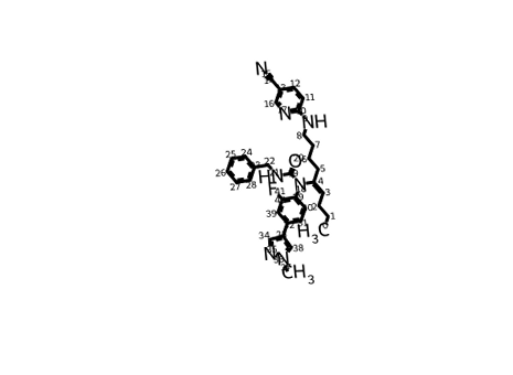 CCC/C=C(/CCCCNc1ccc(C#N)cn1)N(C(=O)NCc1ccccc1)c1ccc(-c2cnn(C)c2)cc1F